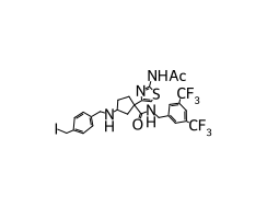 CC(=O)Nc1nc(C2(C(=O)NCc3cc(C(F)(F)F)cc(C(F)(F)F)c3)CCC(NCc3ccc(CI)cc3)C2)cs1